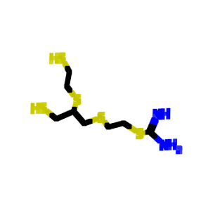 N=C(N)SCCSCC(CS)SCCS